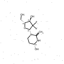 C=C1N[C@H](O)CCN1[C@@H]1O[C@H](CO)[C@@H](O)C1(F)F